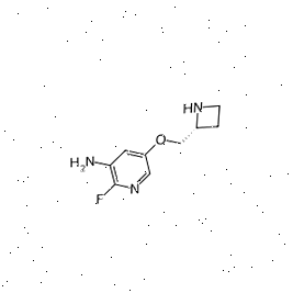 Nc1cc(OC[C@H]2CCN2)cnc1F